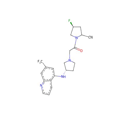 N#CC1C[C@H](F)CN1C(=O)CN1CC[C@H](Nc2cc(C(F)(F)F)cc3ncccc23)C1